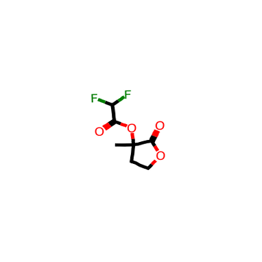 CC1(OC(=O)C(F)F)CCOC1=O